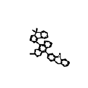 Cc1ccc2c(-c3ccc4c(c3)N(C)c3ccccc3C4)c3ccccc3c(-c3cccc4c3-c3ccccc3C4(C)C)c2c1